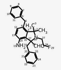 CC1(C)c2c(Cc3ccccc3)ccc(N)c2C(C=O)(Cc2ccccc2)N1CCF